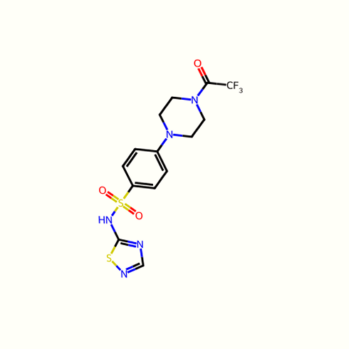 O=C(N1CCN(c2ccc(S(=O)(=O)Nc3ncns3)cc2)CC1)C(F)(F)F